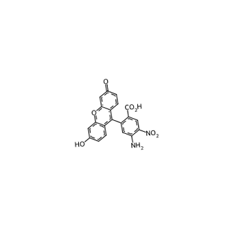 Nc1cc(-c2c3ccc(=O)cc-3oc3cc(O)ccc23)c(C(=O)O)cc1[N+](=O)[O-]